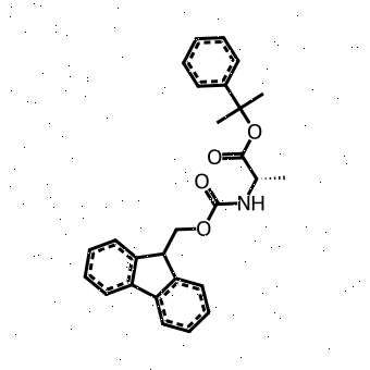 C[C@H](NC(=O)OCC1c2ccccc2-c2ccccc21)C(=O)OC(C)(C)c1ccccc1